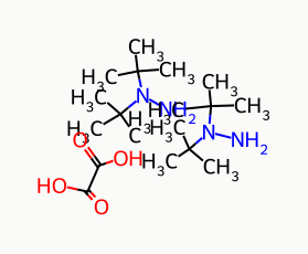 CC(C)(C)N(N)C(C)(C)C.CC(C)(C)N(N)C(C)(C)C.O=C(O)C(=O)O